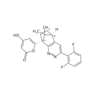 CC1(C)[C@H]2CC[C@]1(c1cc(O)cc(=O)o1)c1nnc(-c3c(F)cccc3F)cc12